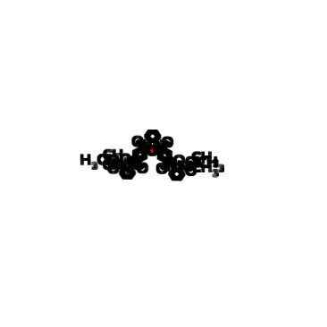 CC(C)(C)OC(=O)NC1CCCC[C@H]1n1c(=O)c2cc3c(=O)n(C4CCCC[C@H]4n4c(=O)c5cc6c(=O)n(C7CCCC[C@H]7NC(=O)OC(C)(C)C)c(=O)c6cc5c4=O)c(=O)c3cc2c1=O